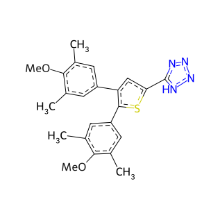 COc1c(C)cc(-c2cc(-c3nnn[nH]3)sc2-c2cc(C)c(OC)c(C)c2)cc1C